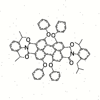 CC(C)Cc1cccc(C(C)C)c1N1C(=O)c2cc(Oc3ccccc3)c3c4c(Oc5ccccc5)cc5c6c(cc(Oc7ccccc7)c(c7c(Oc8ccccc8)cc(c2c37)C1=O)c64)C(=O)N(c1c(C(C)C)cccc1C(C)C)C5=O